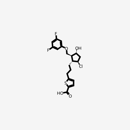 O=C(O)c1ccc(CCC[C@@H]2[C@@H](COc3cc(F)cc(F)c3)[C@H](O)C[C@H]2Cl)s1